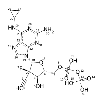 C#C[C@@]1(F)[C@H](O)[C@@H](COP(=O)(O)OP(=O)(O)O)O[C@H]1n1cnc2c(NC3CC3)nc(N)nc21